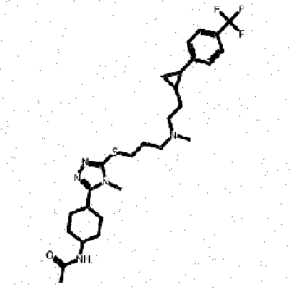 CC(=O)NC1CCC(c2nnc(SCCCN(C)CCC3CC3c3ccc(C(F)(F)F)cc3)n2C)CC1